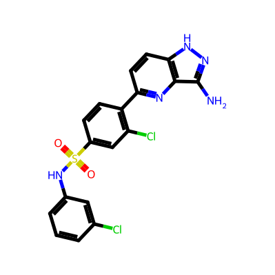 Nc1n[nH]c2ccc(-c3ccc(S(=O)(=O)Nc4cccc(Cl)c4)cc3Cl)nc12